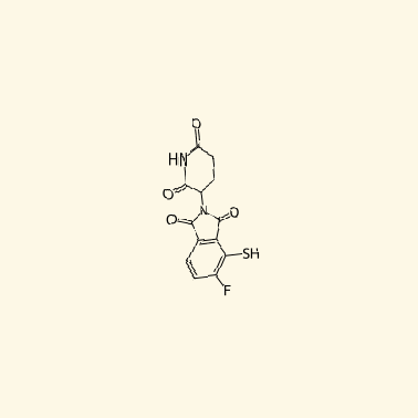 O=C1CCC(N2C(=O)c3ccc(F)c(S)c3C2=O)C(=O)N1